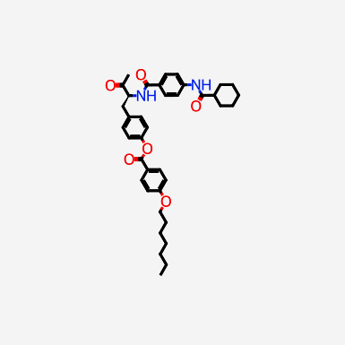 CCCCCCCOc1ccc(C(=O)Oc2ccc(C[C@H](NC(=O)c3ccc(NC(=O)C4CCCCC4)cc3)C(C)=O)cc2)cc1